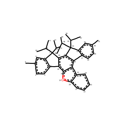 Cc1ccc2c(c1)C(C(C)C)(C(C)C)c1c3c(c4c(oc5ccccc54)c1-2)-c1ccc(C)cc1C3(C(C)C)C(C)C